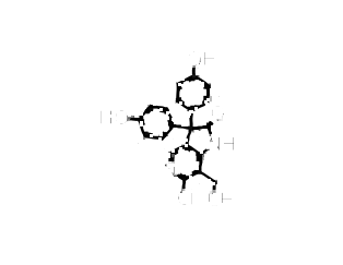 CCc1c(Cl)ncc2c1NC(=O)C2(c1ccc(O)cc1)c1ccc(O)cc1